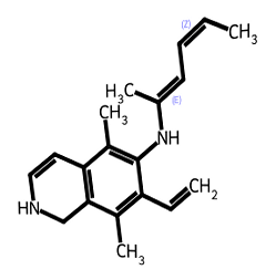 C=Cc1c(C)c2c(c(C)c1N/C(C)=C/C=C\C)C=CNC2